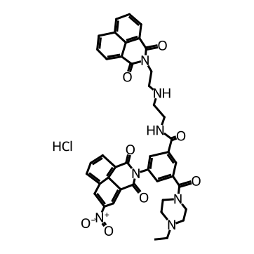 CCN1CCN(C(=O)c2cc(C(=O)NCCNCCN3C(=O)c4cccc5cccc(c45)C3=O)cc(N3C(=O)c4cccc5cc([N+](=O)[O-])cc(c45)C3=O)c2)CC1.Cl